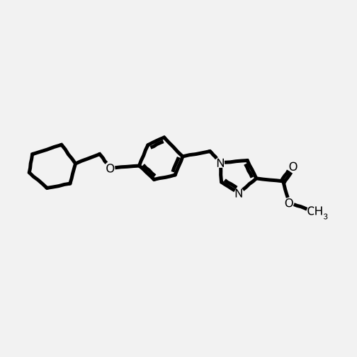 COC(=O)c1cn(Cc2ccc(OCC3CCCCC3)cc2)cn1